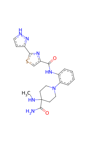 CNC1(C(N)=O)CCN(c2ccccc2NC(=O)c2csc(-c3cc[nH]n3)n2)CC1